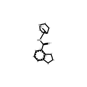 O=C(NC1CN2CCC1CC2)c1cccc2c1CCC2